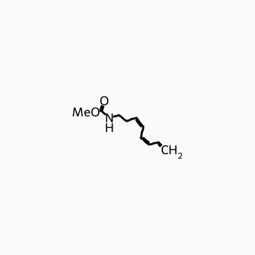 C=C/C=C\C=C/CCNC(=O)OC